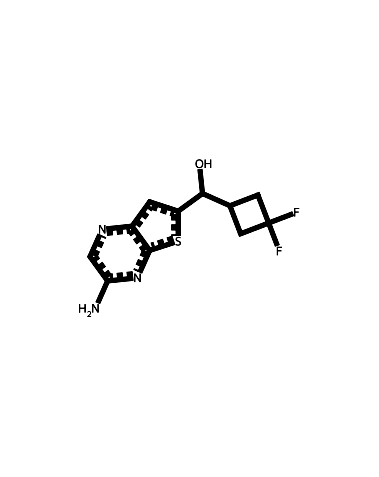 Nc1cnc2cc(C(O)C3CC(F)(F)C3)sc2n1